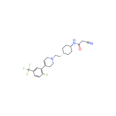 N#CCC(=O)N[C@H]1CC[C@H](CCN2CC=C(c3cc(C(F)(F)F)ccc3F)CC2)CC1